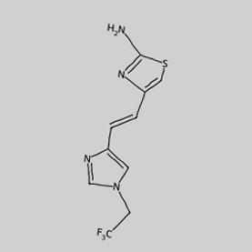 Nc1nc(C=Cc2cn(CC(F)(F)F)cn2)cs1